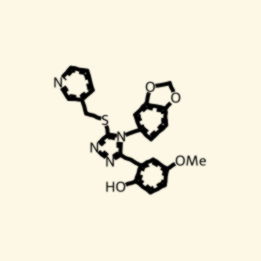 COc1ccc(O)c(-c2nnc(SCc3cccnc3)n2-c2ccc3c(c2)OCO3)c1